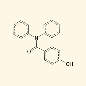 O=C(c1ccc(O)cc1)N(c1ccccc1)c1ccccc1